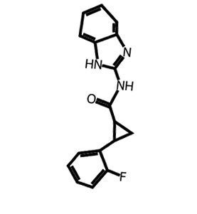 O=C(Nc1nc2ccccc2[nH]1)C1CC1c1ccccc1F